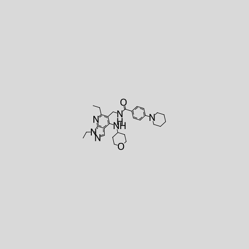 CCc1nc2c(cnn2CC)c(NC2CCOCC2)c1CNC(=O)c1ccc(N2CCCCC2)cc1